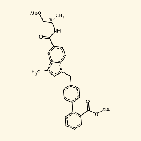 COC[C@H](C)NC(=O)c1ccc2c(c1)c(C)nn2Cc1ccc(-c2ccccc2C(=O)OC(C)(C)C)cc1